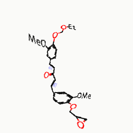 CCOCOc1ccc(/C=C/C(=O)/C=C/c2ccc(OCC3CO3)c(OC)c2)cc1OC